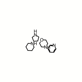 C1CCNC1.C1CCNCC1.C1COCCN1.c1ccncc1